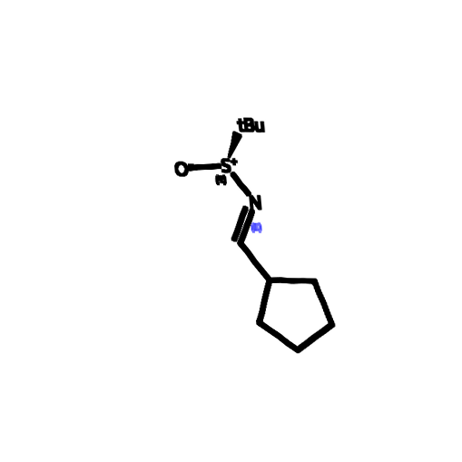 CC(C)(C)[S@+]([O-])/N=C/C1CCCC1